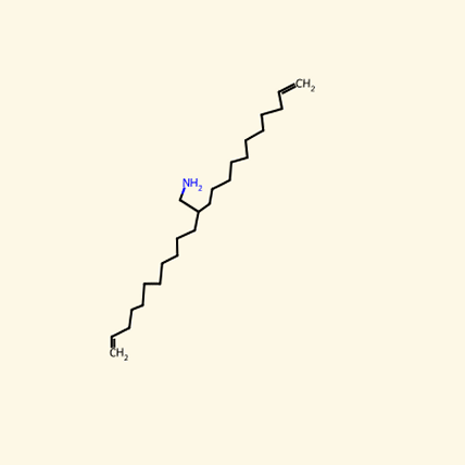 C=CCCCCCCCCCC(CN)CCCCCCCCCC=C